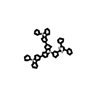 C1=CCC(n2c3ccccc3c3cc(-c4ccc5c(c4)c4cc(-c6ccc7c(c6)c6ccccc6n7-c6ccccc6)ccc4n5-c4cccc(-c5nc(-c6ccccc6)cc(-c6ccccc6)n5)c4)ccc32)C=C1